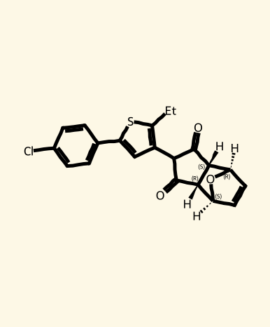 CCc1sc(-c2ccc(Cl)cc2)cc1C1C(=O)[C@@H]2[C@H](C1=O)[C@H]1C=C[C@@H]2O1